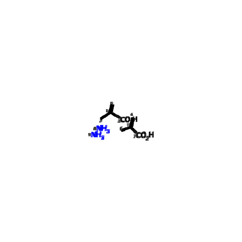 C=C(C)C(=O)O.C=C(C)C(=O)O.N.N